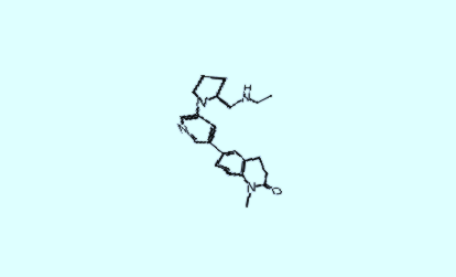 CCNCC1CCCN1c1cncc(-c2ccc3c(c2)CCC(=O)N3C)c1